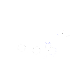 C/C=C/C(=O)N1CCC(n2nc(-c3ccc(Oc4ccccc4)cc3)c3c(N)ncnc32)C1